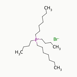 CCCCCCC[P+](CCCC)(CCCC)CCCCCCC.[Br-]